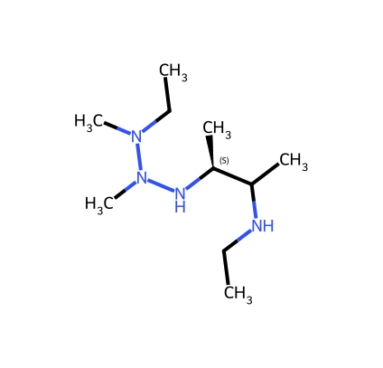 CCNC(C)[C@H](C)NN(C)N(C)CC